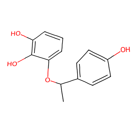 CC(Oc1cccc(O)c1O)c1ccc(O)cc1